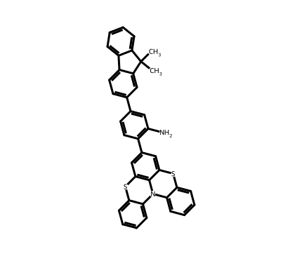 CC1(C)c2ccccc2-c2ccc(-c3ccc(-c4cc5c6c(c4)Sc4ccccc4N6c4ccccc4S5)c(N)c3)cc21